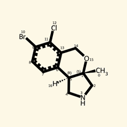 C[C@@]12CNC[C@H]1c1ccc(Br)c(Cl)c1CO2